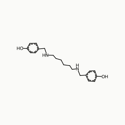 Oc1ccc(CNCCCCCCNCc2ccc(O)cc2)cc1